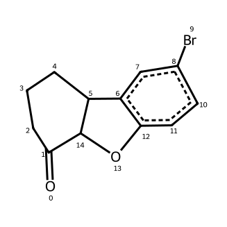 O=C1CCCC2c3cc(Br)ccc3OC12